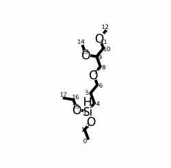 CCO[SiH](CCCOCC(COC)OC)OCC